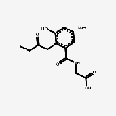 CCC(=O)Cc1c(O)cccc1C(=O)NCC(=O)O.[NaH]